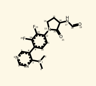 CP(C)c1ncncc1-c1ccc(N2CCC(NC=O)C2=O)c(F)c1F